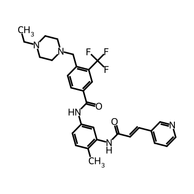 CCN1CCN(Cc2ccc(C(=O)Nc3ccc(C)c(NC(=O)C=Cc4cccnc4)c3)cc2C(F)(F)F)CC1